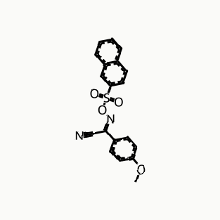 COc1ccc(C(C#N)=NOS(=O)(=O)c2ccc3ccccc3c2)cc1